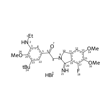 Br.CCNc1cc(C(=O)CN2Cc3cc(OC)c(OC)c(F)c3C2=N)cc(C(C)(C)C)c1OC